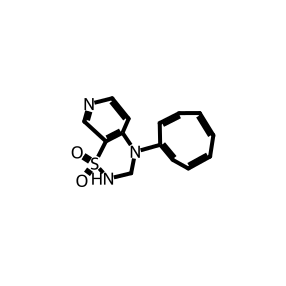 O=S1(=O)NCN(C2=CC=CC=CC=C2)c2ccncc21